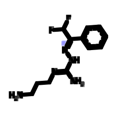 NCCCN=C(N)N/N=C(\c1ccccc1)C(F)F